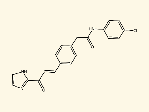 O=C(Cc1ccc(/C=C/C(=O)c2ncc[nH]2)cc1)Nc1ccc(Cl)cc1